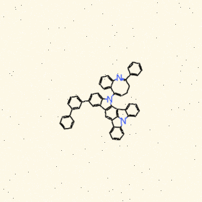 C1=C(/n2c3ccc(-c4cccc(-c5ccccc5)c4)cc3c3cc4c5ccccc5n5c6ccccc6c(c32)c45)c2ccccc2/N=C(/c2ccccc2)CC/1